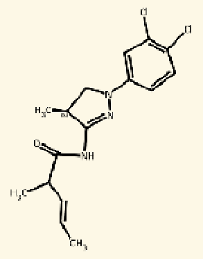 CC=CC(C)C(=O)NC1=NN(c2ccc(Cl)c(Cl)c2)C[C@@H]1C